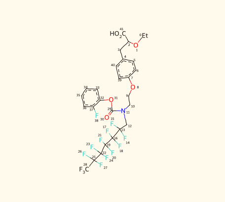 CCOC(Cc1ccc(OCCN(CC(F)(F)C(F)(F)C(F)(F)C(F)(F)C(F)(F)C(F)(F)F)C(=O)Oc2ccccc2F)cc1)C(=O)O